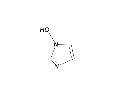 On1[c]ncc1